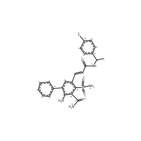 CC(NC(=O)C=Cc1cc(-c2ccccc2)c(N)c(C(N)=O)c1S(N)(=O)=O)c1ccc(F)cc1